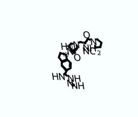 N#CC1CCCN1C(=O)C(N)CN1C[C@@H]2CC1C(=O)N2[C@H]1CCc2cc(C(=N)NN=N)ccc21